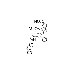 COCCn1c(Cc2ccc(-c3cccc(OCc4ccc(C#N)cc4F)n3)cc2-c2ccccc2)nc2ccc(C(=O)O)cc21